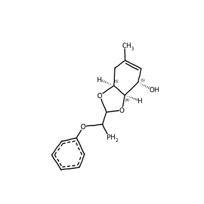 CC1=C[C@H](O)[C@H]2OC(C(P)Oc3ccccc3)O[C@H]2C1